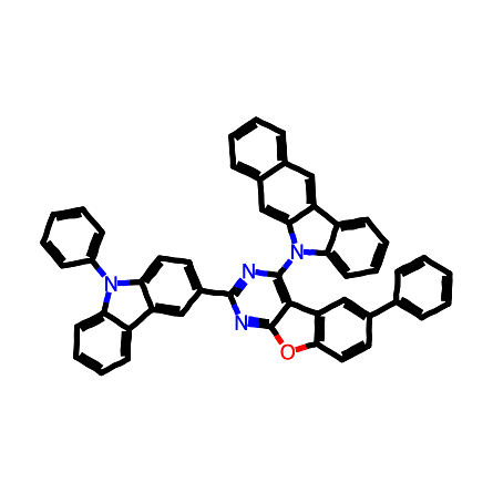 c1ccc(-c2ccc3oc4nc(-c5ccc6c(c5)c5ccccc5n6-c5ccccc5)nc(-n5c6ccccc6c6cc7ccccc7cc65)c4c3c2)cc1